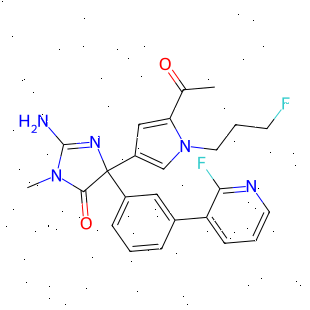 CC(=O)c1cc(C2(c3cccc(-c4cccnc4F)c3)N=C(N)N(C)C2=O)cn1CCCF